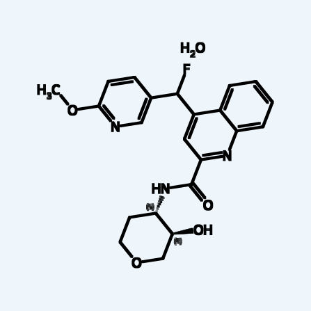 COc1ccc(C(F)c2cc(C(=O)N[C@H]3CCOC[C@@H]3O)nc3ccccc23)cn1.O